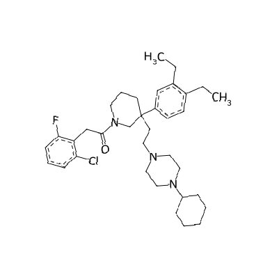 CCc1ccc(C2(CCN3CCN(C4CCCCC4)CC3)CCCN(C(=O)Cc3c(F)cccc3Cl)C2)cc1CC